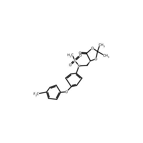 CC1(C)OC(=O)[C@H](CN(c2ccc(Oc3ccc(C(F)(F)F)cc3)cc2)S(C)(=O)=O)O1